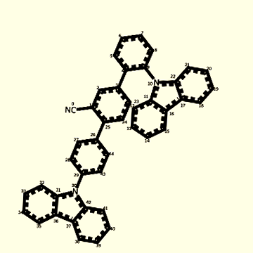 N#Cc1cc(-c2ccccc2-n2c3ccccc3c3ccccc32)ccc1-c1ccc(-n2c3ccccc3c3ccccc32)cc1